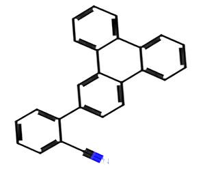 N#Cc1ccccc1-c1ccc2c3ccccc3c3ccccc3c2c1